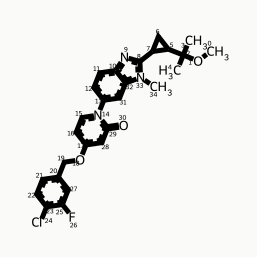 COC(C)(C)C1CC1c1nc2ccc(-n3ccc(OCc4ccc(Cl)c(F)c4)cc3=O)cc2n1C